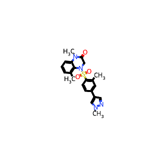 Cc1cc(-c2cnn(C)c2)ccc1S(=O)(=O)N1CC(=O)N(C)c2cccc(C)c21